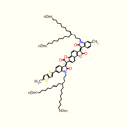 CCCCCCCCCCCCCCCCCCC(CCCCCCCCCCCCCCCCCC)CCCN1C(=O)/C(=C2/C(=O)Oc3c2ccc2c4c(ccc32)/C(=C2\C(=O)N(CCCC(CCCCCCCCCCCCCCCCCC)CCCCCCCCCCCCCCCCCC)c3cc(-c5cc6sc(C)cc6s5)ccc32)C(=O)O4)c2ccc(C)cc21